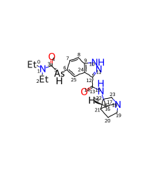 CCN(CC)C(=O)[AsH]c1ccc2[nH]nc(C(=O)N[C@@H]3CN4CCC3CC4)c2c1